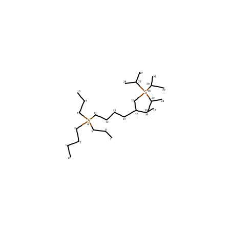 CCCCS(CCC)(CCC)CCCCC(CC)CS(C(C)C)(C(C)C)C(C)C